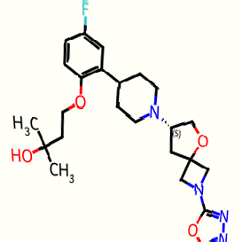 CC(C)(O)CCOc1ccc(F)cc1C1CCN([C@@H]2COC3(C2)CN(c2nnco2)C3)CC1